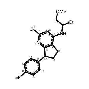 CCC(COC)Nc1nc(Cl)nc2c1CCC2c1ccc(F)cc1